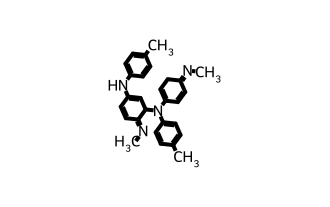 CN=C1C=CC(N(c2ccc(C)cc2)C2C=C(Nc3ccc(C)cc3)C=CC2=NC)=CC1